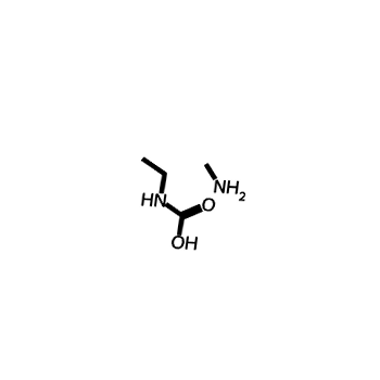 CCNC(=O)O.CN